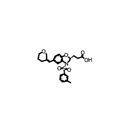 Cc1cccc(S(=O)(=O)N2C[C@H](CCC(=O)O)Oc3ccc(/C=C4/CCCOC4)cc32)c1